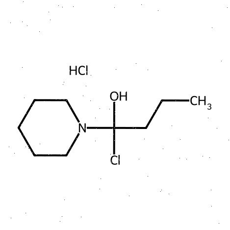 CCCC(O)(Cl)N1CCCCC1.Cl